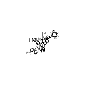 CCOC(=O)Cc1nnnn1CC(=O)C(CC(=O)O)NC(=O)OCc1ccccc1